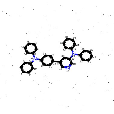 c1ccc(N(c2ccccc2)c2ccc(-c3cncc(N(c4ccccc4)c4ccccc4)c3)cc2)cc1